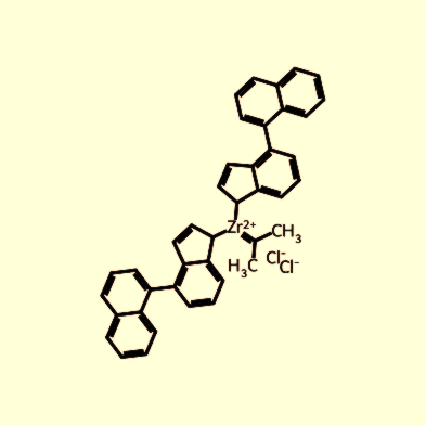 C[C](C)=[Zr+2]([CH]1C=Cc2c(-c3cccc4ccccc34)cccc21)[CH]1C=Cc2c(-c3cccc4ccccc34)cccc21.[Cl-].[Cl-]